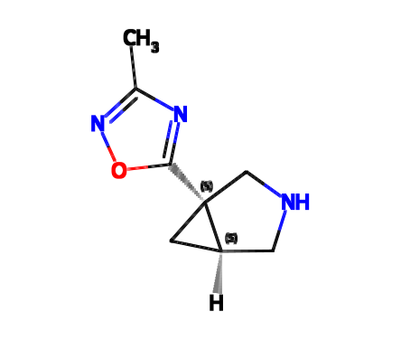 Cc1noc([C@]23CNC[C@H]2C3)n1